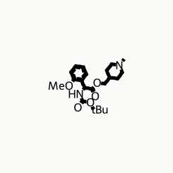 COc1ccccc1C(NC(=O)OC(C)(C)C)C(=O)OCC1CCN(C)CC1